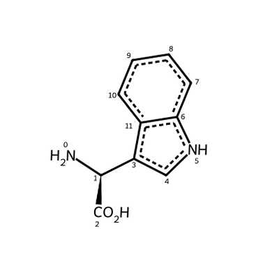 N[C@H](C(=O)O)c1c[nH]c2ccccc12